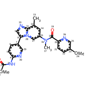 COC(=O)Nc1ccc(-c2cnc3c(C)cc(N(C)C(=O)c4ccc(OC)cn4)cn23)cn1